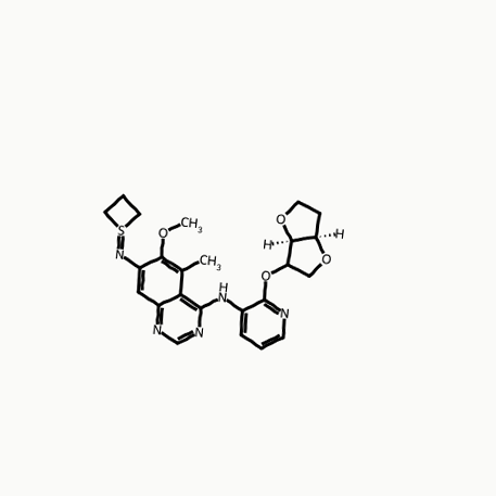 COc1c(N=S2CCC2)cc2ncnc(Nc3cccnc3OC3CO[C@@H]4CCO[C@H]34)c2c1C